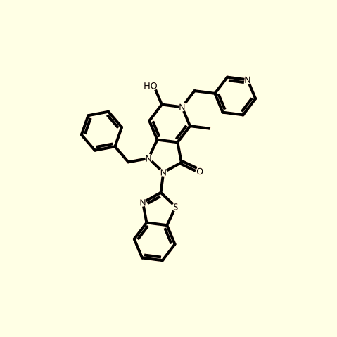 CC1=c2c(n(Cc3ccccc3)n(-c3nc4ccccc4s3)c2=O)=CC(O)N1Cc1cccnc1